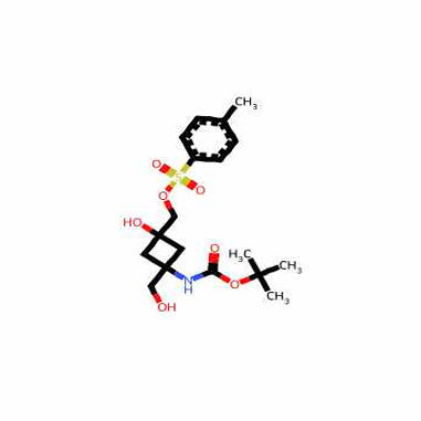 Cc1ccc(S(=O)(=O)OCC2(O)CC(CO)(NC(=O)OC(C)(C)C)C2)cc1